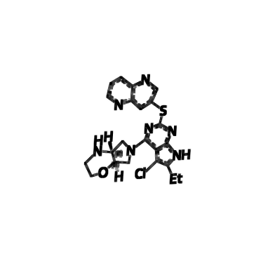 CCc1[nH]c2nc(Sc3cnc4cccnc4c3)nc(N3C[C@H]4NCCO[C@@H]4C3)c2c1Cl